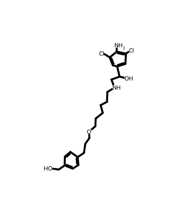 Nc1c(Cl)cc(C(O)CNCCCCCCOCCCc2ccc(CO)cc2)cc1Cl